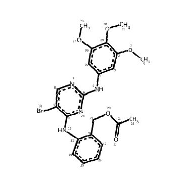 COc1cc(Nc2ncc(Br)c(Nc3ccccc3COC(C)=O)n2)cc(OC)c1OC